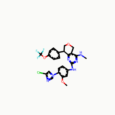 CNc1nc(Nc2ccc(-n3cnc(Cl)c3)c(OC)c2)nc2c1COCC2c1ccc(OC(F)(F)F)cc1